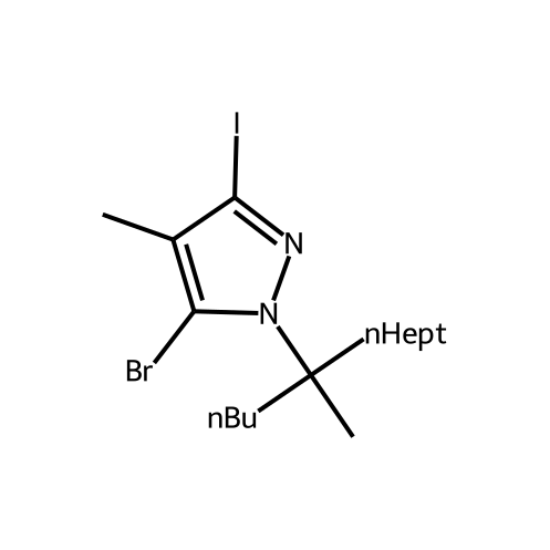 CCCCCCCC(C)(CCCC)n1nc(I)c(C)c1Br